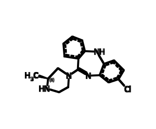 C[C@H]1CN(C2=Nc3cc(Cl)ccc3Nc3ccccc32)CCN1